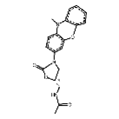 CC(=O)NC[C@H]1CN(c2ccc3c(c2)Oc2ccccc2N3C)C(=O)O1